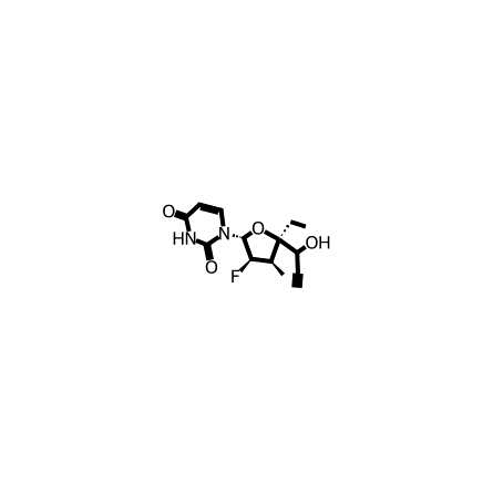 C#CC(O)[C@]1(CC)O[C@@H](n2ccc(=O)[nH]c2=O)[C@H](F)[C@@H]1C